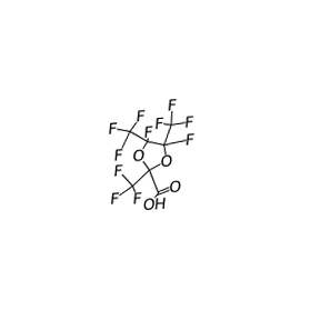 O=C(O)C1(C(F)(F)F)OC(F)(C(F)(F)F)C(F)(C(F)(F)F)O1